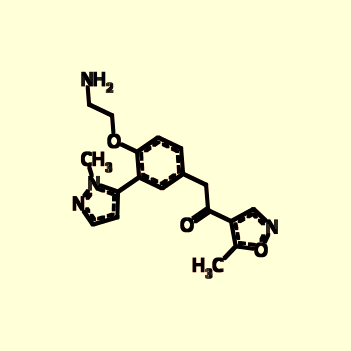 Cc1oncc1C(=O)Cc1ccc(OCCN)c(-c2ccnn2C)c1